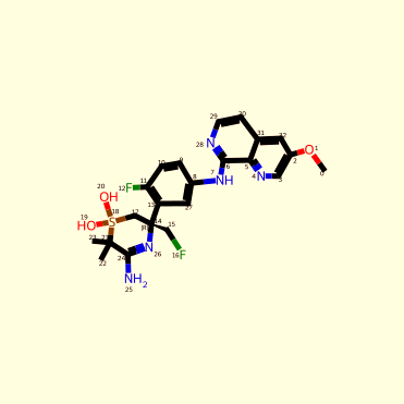 COc1cnc2c(Nc3ccc(F)c([C@@]4(CF)CS(O)(O)C(C)(C)C(N)=N4)c3)nccc2c1